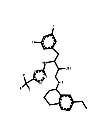 CCc1ccc2c(c1)C(NCC(O)C(Cc1cc(F)cc(F)c1)Nc1nnc(C(F)(F)F)s1)CCC2